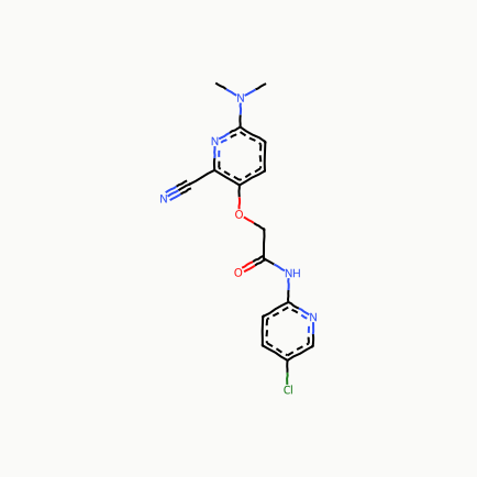 CN(C)c1ccc(OCC(=O)Nc2ccc(Cl)cn2)c(C#N)n1